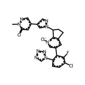 Cn1ncc(-c2cnn(C3CCc4cc(-c5c(-n6cnnn6)ccc(Cl)c5F)c[n+]([O-])c43)c2)cc1=O